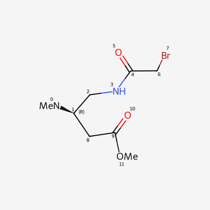 CN[C@@H](CNC(=O)CBr)CC(=O)OC